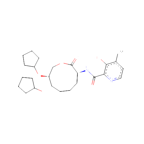 COc1ccnc(C(=O)N[C@H]2CCC[C@H](OC3CCCC3)[C@@H](OC3CCCC3)[C@H](C)OC2=O)c1O